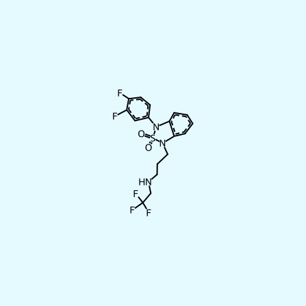 O=S1(=O)N(CCCNCC(F)(F)F)c2ccccc2N1c1ccc(F)c(F)c1